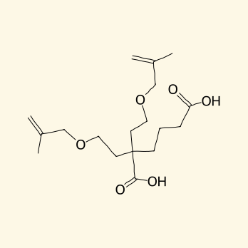 C=C(C)COCCC(CCCC(=O)O)(CCOCC(=C)C)C(=O)O